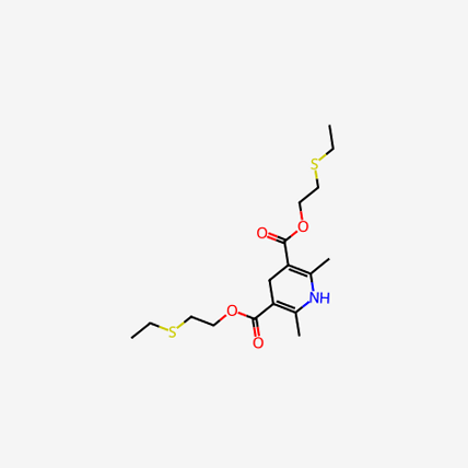 CCSCCOC(=O)C1=C(C)NC(C)=C(C(=O)OCCSCC)C1